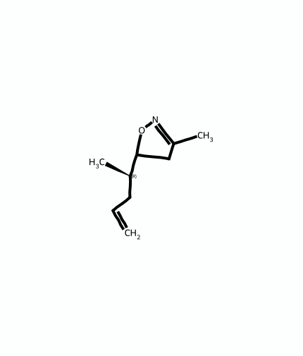 C=CC[C@@H](C)C1CC(C)=NO1